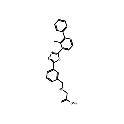 COC(=O)CNCc1cccc(-c2nnc(-c3cccc(-c4ccccc4)c3C)o2)c1